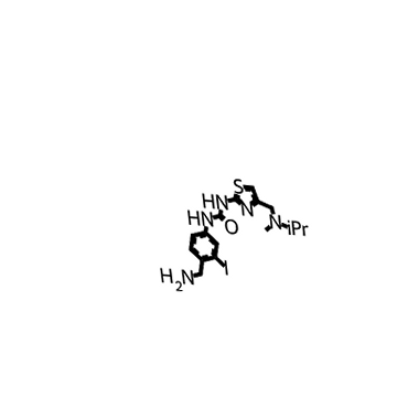 CC(C)N(C)Cc1csc(NC(=O)Nc2ccc(CN)c(I)c2)n1